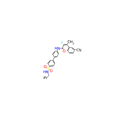 CC(=C(F)C(=O)Nc1ccc(-c2ccc(S(=O)(=O)NCC(C)C)cc2)cc1)c1cccc(C#N)c1